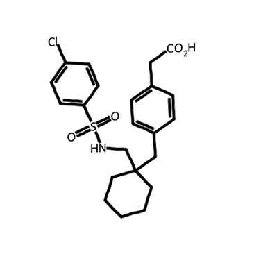 O=C(O)Cc1ccc(CC2(CNS(=O)(=O)c3ccc(Cl)cc3)CCCCC2)cc1